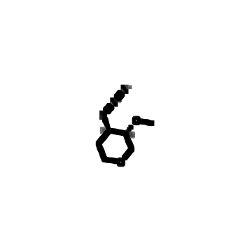 CO[C@@H]1COCC[C@H]1N=[N+]=[N-]